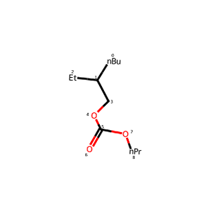 CCCCC(CC)COC(=O)OCCC